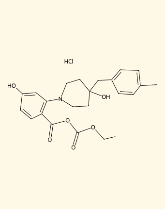 CCOC(=O)OC(=O)c1ccc(O)cc1N1CCC(O)(Cc2ccc(C)cc2)CC1.Cl